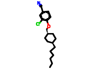 CCCCCC[C@H]1CC[C@H](COc2ccc(C#N)cc2Cl)CC1